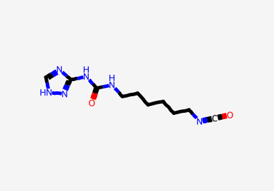 O=C=NCCCCCCNC(=O)Nc1nc[nH]n1